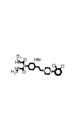 Br.CNC(=O)N(C(=O)NC)C1CCC(CCN2CCN(c3cccc(Cl)c3Cl)CC2)CC1